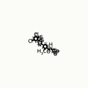 Cc1cc(C2=NSC(c3cc(Cl)cc(Cl)c3)(C(F)(F)F)C2)ccc1C(=O)NC1CS(=O)(=O)C1